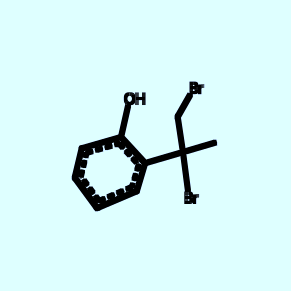 CC(Br)(CBr)c1ccccc1O